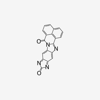 O=C1N=c2cc3nc4c5cccc6cccc(c(=O)n4c3cc2=N1)c65